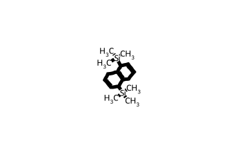 C[Si](C)(C)C1C=CCC2=C1CC=CC2[Si](C)(C)C